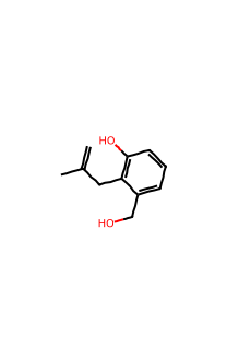 C=C(C)Cc1c(O)cccc1CO